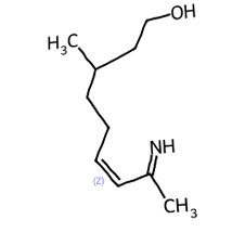 CC(=N)/C=C\CCC(C)CCO